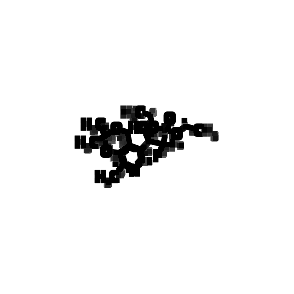 CCOP(=O)(OCC)C(F)(F)C(O)c1cnc(C)c2c1COC(C)(C)O2